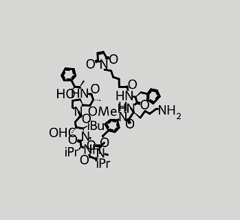 CC[C@H](C)[C@@H]([C@H](C=O)CC(=O)N1CCC[C@H]1[C@H](OC)[C@@H](C)C(=O)N[C@H](C)[C@@H](O)c1ccccc1)N(C)C(=O)[C@@H](NC(=O)C(C(C)C)N(C)C(=O)OCc1ccc(NC(=O)[C@H](CCCCN)NC(=O)[C@H](Cc2ccccc2)NC(=O)CCCCCN2C(=O)C=CC2=O)cc1)C(C)C